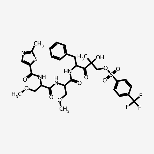 COCC(NC(=O)c1cnc(C)s1)C(=O)NC(COC)C(=O)NC(Cc1ccccc1)C(=O)C(C)(O)COS(=O)(=O)c1ccc(C(F)(F)F)cc1